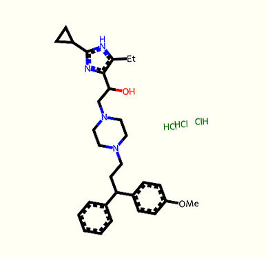 CCc1[nH]c(C2CC2)nc1C(O)CN1CCN(CCC(c2ccccc2)c2ccc(OC)cc2)CC1.Cl.Cl.Cl